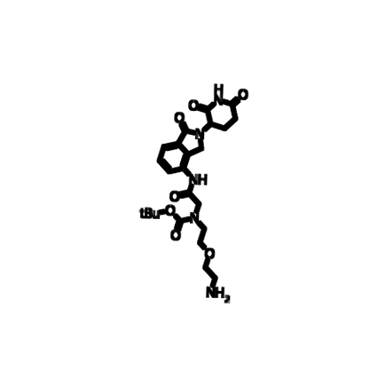 CC(C)(C)OC(=O)N(CCOCCN)CC(=O)Nc1cccc2c1CN(C1CCC(=O)NC1=O)C2=O